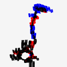 CO[C@H]1C[C@@H]2CC[C@@H](C)[C@@](O)(O2)C(=O)C(=O)N2CCCC[C@H]2C(=O)O[C@H](CC[C@@H]2CC[C@@H](OCc3cccc(-c4cnc(N5CCN(Cc6cn(CCOCCOCCOCCC(=O)NCCCCn7nc(-c8ccc9oc(N)nc9c8)c8c(N)ncnc87)nn6)CC5)nc4)c3)[C@H](OC)C2)CC(=O)[C@H](C)/C=C(\C)[C@@H](O)CC(=O)[C@H](C)C[C@H](C)/C=C/C=C/C=C/1C